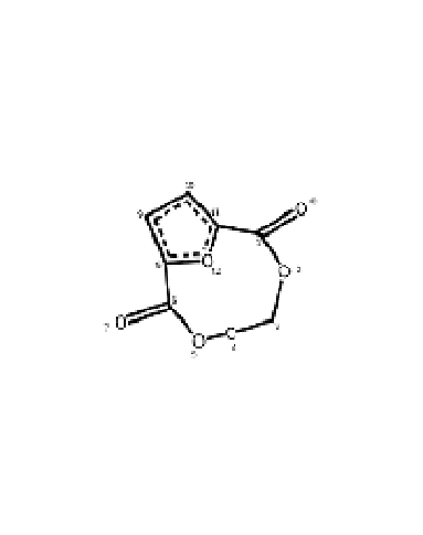 O=C1OCCOC(=O)c2ccc1o2